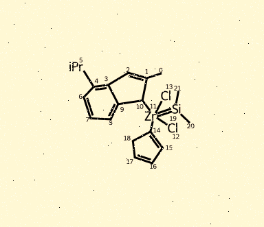 CC1=Cc2c(C(C)C)cccc2[CH]1[Zr]([Cl])([Cl])([C]1=CC=CC1)=[Si](C)C